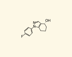 O[C@@H]1CCCc2c1cnn2-c1ccc(F)cc1